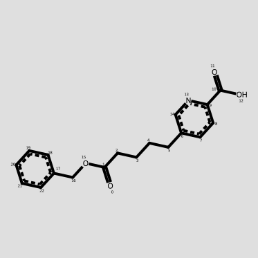 O=C(CCCCc1ccc(C(=O)O)nc1)OCc1ccccc1